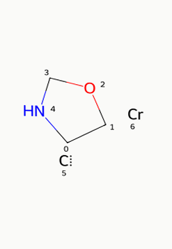 C1COCN1.[C].[Cr]